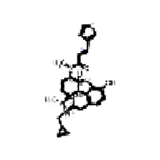 C[C@H]1N(CC2CC2)[C@@H]2Cc3ccc(O)c4c3[C@@]3(C2)[C@@H](O4)[C@H](N(C)C(=O)/C=C/c2ccoc2)CC[C@@]13O